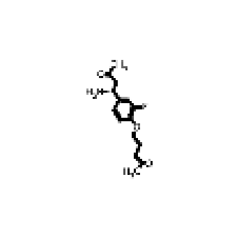 CC(=O)CCCOc1ccc([C@@H](N)CC(C)=O)cc1F